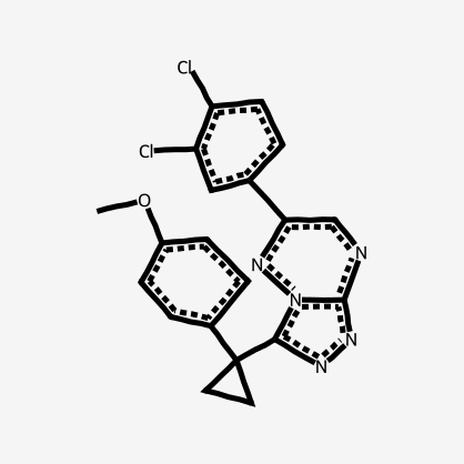 COc1ccc(C2(c3nnc4ncc(-c5ccc(Cl)c(Cl)c5)nn34)CC2)cc1